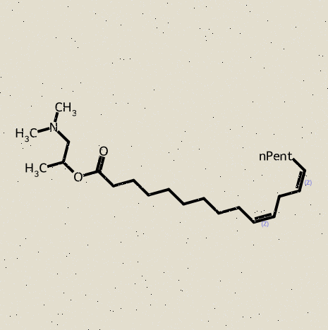 CCCCC/C=C\C/C=C\CCCCCCCCC(=O)OC(C)CN(C)C